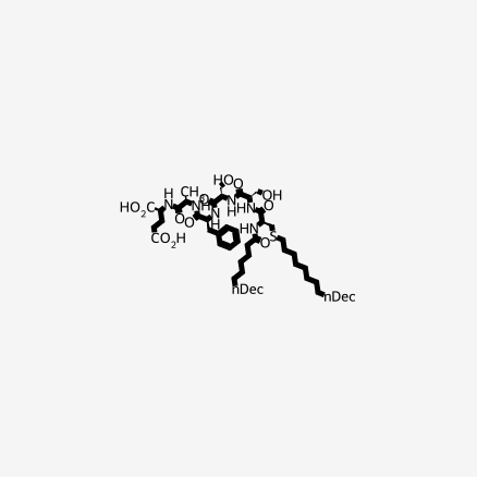 CCCCCCCCCCCCCCCCCCSC[C@@H](NC(=O)CCCCCCCCCCCCCCC)C(=O)N[C@@H](CO)C(=O)N[C@@H](CO)C(=O)N[C@@H](Cc1ccccc1)C(=O)N[C@@H](C)C(=O)N[C@@H](CCC(=O)O)C(=O)O